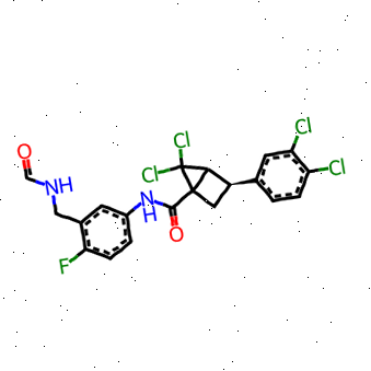 O=CNCc1cc(NC(=O)C23C[C@H](c4ccc(Cl)c(Cl)c4)C2C3(Cl)Cl)ccc1F